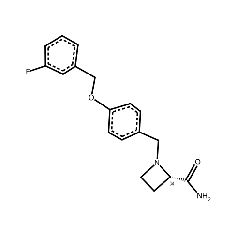 NC(=O)[C@@H]1CCN1Cc1ccc(OCc2cccc(F)c2)cc1